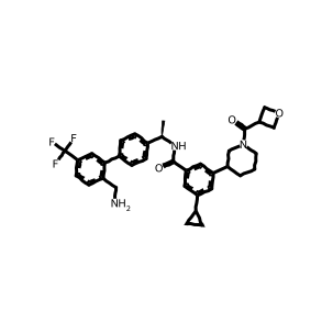 C[C@@H](NC(=O)c1cc(C2CC2)cc(C2CCCN(C(=O)C3COC3)C2)c1)c1ccc(-c2cc(C(F)(F)F)ccc2CN)cc1